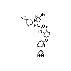 CC(C)c1cc(NC(=O)Nc2cc(Oc3ccnc(-c4cnn(C)c4)n3)ccc2F)n(-c2cccc(C#N)c2)n1